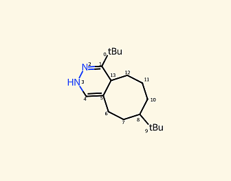 CC(C)(C)C1=NNC=C2CCC(C(C)(C)C)CCCC21